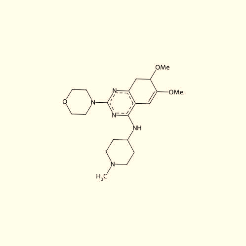 COC1=Cc2c(nc(N3CCOCC3)nc2NC2CCN(C)CC2)CC1OC